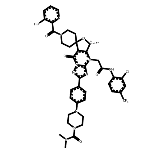 C[C@H]1OC2(CCN(C(=O)c3ncccc3O)CC2)c2c1n(CC(=O)Nc1ccc(C(F)(F)F)cc1Cl)c1nc(-c3ccc(N4CCN(C(=O)N(C)C)CC4)cc3)nn1c2=O